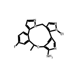 CCn1ncc2c1-c1cnc(N)c(c1)OC(C)c1cc(F)ccc1-c1ccnn1C2